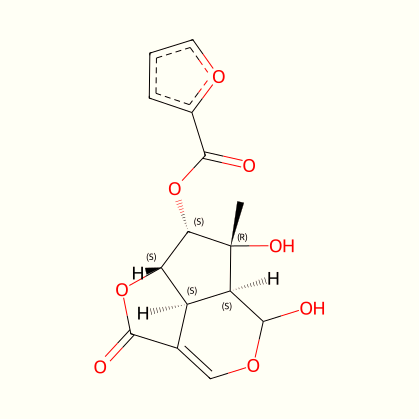 C[C@]1(O)[C@@H](OC(=O)c2ccco2)[C@H]2OC(=O)C3=COC(O)[C@H]1[C@@H]32